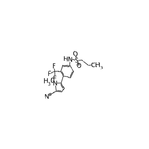 CCCS(=O)(=O)Nc1ccc(-c2ccc(C#N)n2C)c(C(F)(F)F)c1